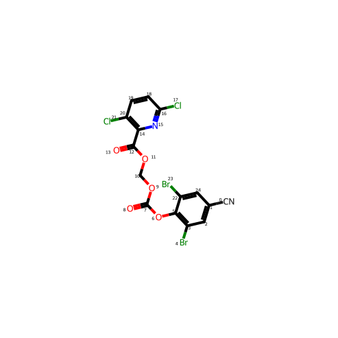 N#Cc1cc(Br)c(OC(=O)OCOC(=O)c2nc(Cl)ccc2Cl)c(Br)c1